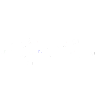 C#CCOc1ccc(CCNC(=O)C(S)(OCC)c2ccc(F)cc2)cc1OC